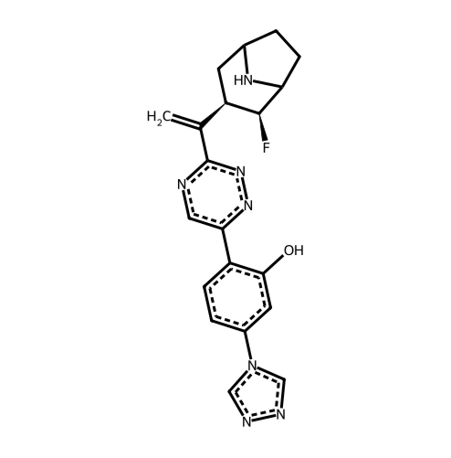 C=C(c1ncc(-c2ccc(-n3cnnc3)cc2O)nn1)[C@H]1CC2CCC(N2)[C@H]1F